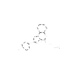 CCN(CC)CCOc1nc2ccccc2c2oc(-c3ccc(C(F)(F)F)cc3)nc12